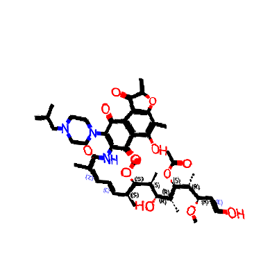 CO[C@H]([C@@H](C)[C@@H](O)[C@@H](C)[C@H](OC(C)=O)[C@H](C)[C@H](/C=C/O)OC)[C@@H](C)/C=C/C=C(/C)C(=O)NC1=C(N2CCN(CC(C)C)CC2)C(=O)c2c(c(O)c(C)c3c2C(=O)C(C)O3)C1=O